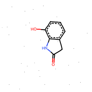 O=C1Cc2cccc(O)c2N1